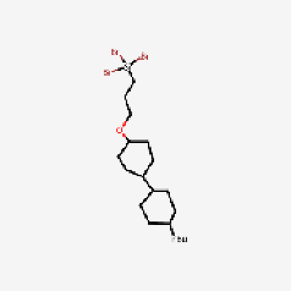 CCCCC1CCC(C2CCC(OCCC[Si](Br)(Br)Br)CC2)CC1